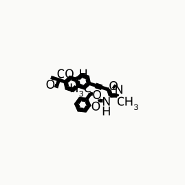 Cc1noc(C#Cc2ccc3cc(C4(C(=O)O)COC4)ccc3c2)c1NC(=O)OC(C)c1ccccc1